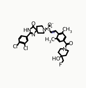 Cc1cc(C(=O)N2CCC(O)(CF)CC2)cc(C)c1/C=C/[S+]([O-])N1CCC2(CC1)N=C(c1ccc(Cl)c(Cl)c1)NC2=O